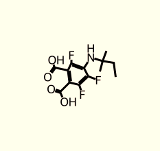 CCC(C)(C)Nc1c(F)c(F)c(C(=O)O)c(C(=O)O)c1F